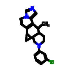 CC(c1c(C2CC2)ccn2cncc12)C1CCN(c2cccc(Cl)c2)CC1